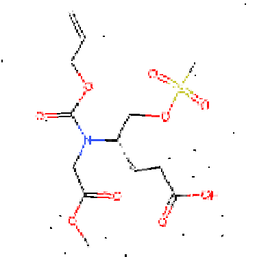 C=CCOC(=O)N(CC(=O)OC)[C@@H](CCC(=O)O)COS(C)(=O)=O